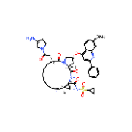 COc1ccc2c(O[C@@H]3C[C@H]4C(=O)N[C@]5(C(=O)NS(=O)(=O)C6CC6)C[C@H]5/C=C\CCCCC[C@H](CC(=O)N5CC[C@H](N)C5)C(=O)N4C3)cc(-c3ccccc3)nc2c1